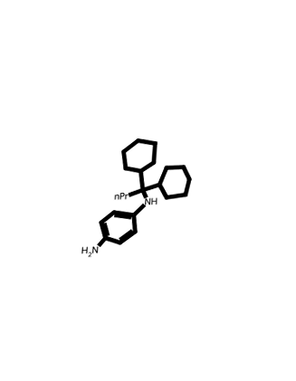 CCCC(Nc1ccc(N)cc1)(C1CCCCC1)C1CCCCC1